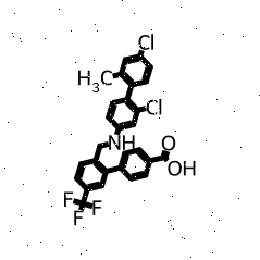 Cc1cc(Cl)ccc1-c1ccc(NCc2ccc(C(F)(F)F)cc2-c2ccc(C(=O)O)cc2)cc1Cl